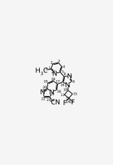 Cc1cccc(-c2ncn(C3CC(F)(F)C3)c2-c2ccc3ncc(C#N)n3c2)n1